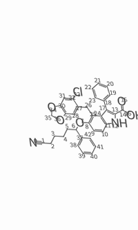 N#CCCCCC(Oc1ccc2[nH]c(C(=O)O)c(-c3ccccc3)c2c1Cc1cc2c(cc1Cl)OCO2)c1ccccc1